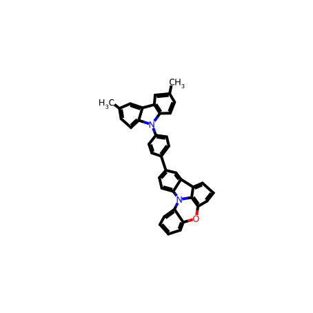 Cc1ccc2c(c1)c1cc(C)ccc1n2-c1ccc(-c2ccc3c(c2)c2cccc4c2n3-c2ccccc2O4)cc1